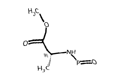 COC(=O)[C@@H](C)NP=O